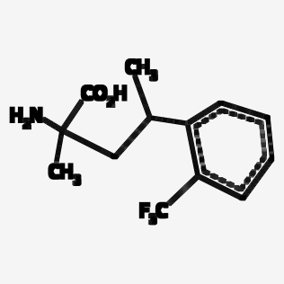 CC(CC(C)(N)C(=O)O)c1ccccc1C(F)(F)F